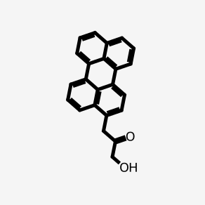 O=C(CO)Cc1ccc2c3cccc4cccc(c5cccc1c52)c43